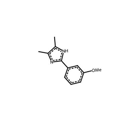 COc1cccc(-c2nc(C)c(C)[nH]2)c1